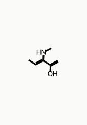 C=C(O)/C(=C/C)NC